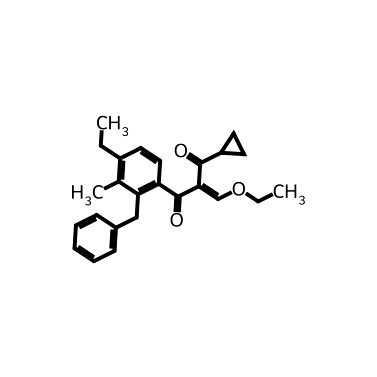 CCOC=C(C(=O)c1ccc(CC)c(C)c1Cc1ccccc1)C(=O)C1CC1